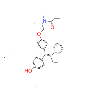 CCC(=O)N(C)CCOc1ccc(C(=C(CC)c2ccccc2)c2ccc(O)cc2)cc1